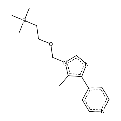 Cc1c(-c2ccncc2)ncn1COCC[Si](C)(C)C